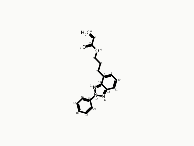 C=CC(=O)OCCCc1cccc2nn(-c3ccccc3)nc12